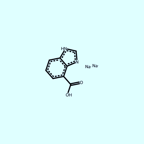 O=C(O)c1cccc2[nH]cnc12.[Na].[Na]